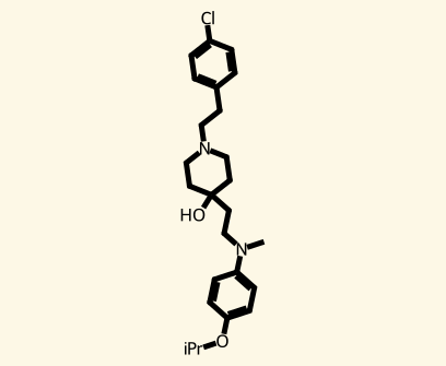 CC(C)Oc1ccc(N(C)CCC2(O)CCN(CCc3ccc(Cl)cc3)CC2)cc1